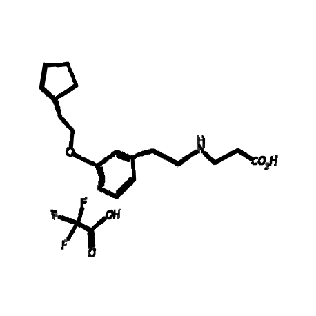 O=C(O)C(F)(F)F.O=C(O)CCNCCc1cccc(OCCC2CCCC2)c1